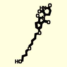 O=C1CCC(N2C(=O)c3ccc(OCCCCCOCCCCO)cc3C2=O)C(=O)N1